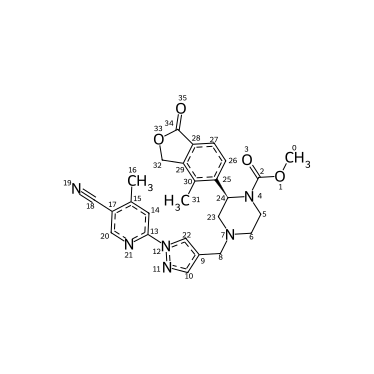 COC(=O)N1CCN(Cc2cnn(-c3cc(C)c(C#N)cn3)c2)C[C@H]1c1ccc2c(c1C)COC2=O